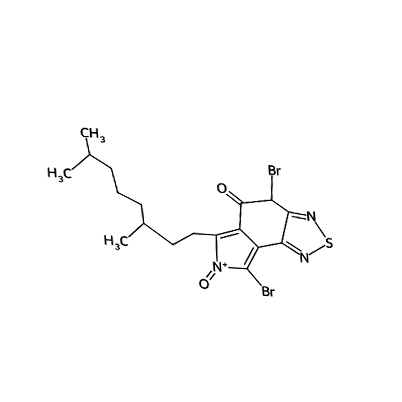 CC(C)CCCC(C)CCC1=C2C(=O)C(Br)c3nsnc3C2=C(Br)[N+]1=O